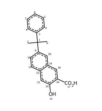 CC(C)(c1ccccc1)c1ccc2cc(O)c(C(=O)O)cc2c1